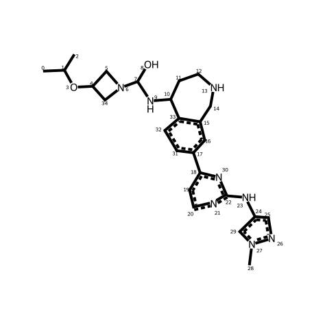 CC(C)OC1CN(C(O)NC2CCNCc3cc(-c4ccnc(Nc5cnn(C)c5)n4)ccc32)C1